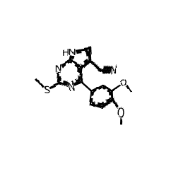 COc1ccc(-c2nc(SC)nc3[nH]cc(C#N)c23)cc1OC